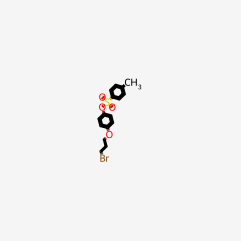 Cc1ccc(S(=O)(=O)Oc2ccc(OCCCBr)cc2)cc1